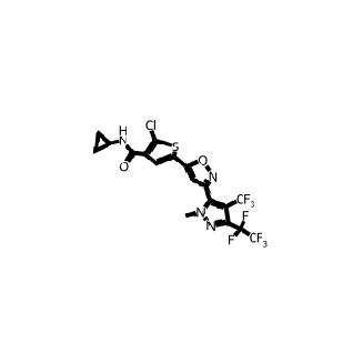 Cn1nc(C(F)(F)C(F)(F)F)c(C(F)(F)F)c1-c1cc(-c2cc(C(=O)NC3CC3)c(Cl)s2)on1